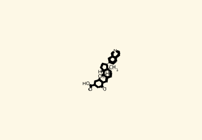 C[C@]12C=CC3=CC4=C(CC(C(=O)O)CC4=O)O[C@H]3[C@@H]1CC[C@@H]2c1ccc2ccncc2c1